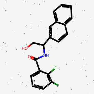 O=C(NC(CO)c1ccc2ccccc2c1)c1cccc(F)c1F